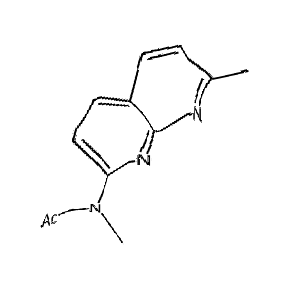 CC(=O)N(C)c1ccc2ccc(C)nc2n1